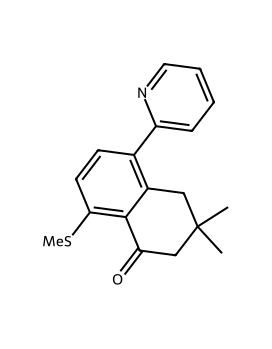 CSc1ccc(-c2ccccn2)c2c1C(=O)CC(C)(C)C2